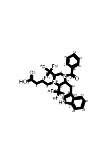 O=C(O)CCCN1C(C(F)(F)F)CN(C(=O)c2ccccc2)C(Cc2c[nH]c3ccccc23)C1C(F)(F)F